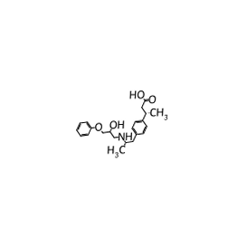 C[C@H](Cc1ccc([C@@H](C)CC(=O)O)cc1)NC[C@H](O)COc1ccccc1